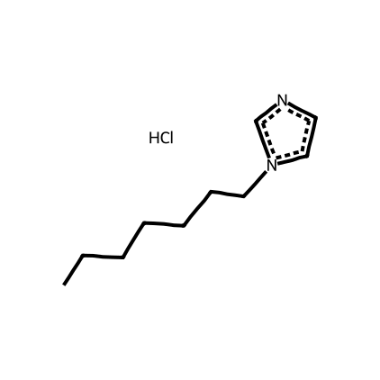 CCCCCCCn1ccnc1.Cl